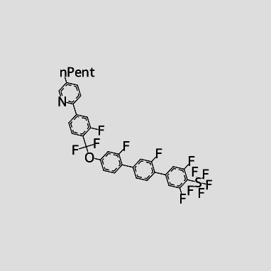 CCCCCc1ccc(-c2ccc(C(F)(F)Oc3ccc(-c4ccc(-c5cc(F)c(S(F)(F)(F)(F)F)c(F)c5)c(F)c4)c(F)c3)c(F)c2)nc1